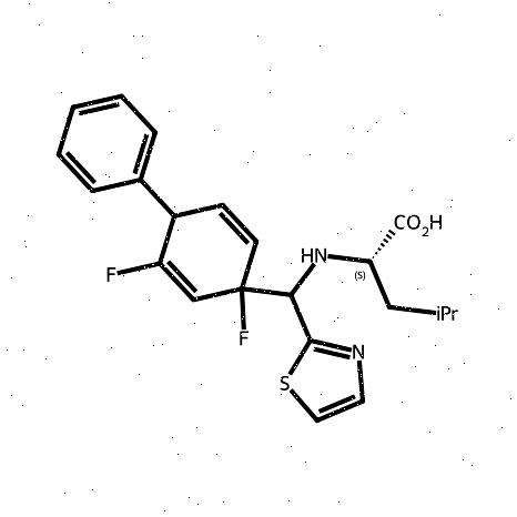 CC(C)C[C@H](NC(c1nccs1)C1(F)C=CC(c2ccccc2)C(F)=C1)C(=O)O